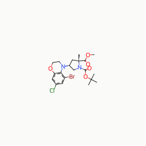 COC(=O)[C@@]1(C)C[C@H](N2CCOc3cc(Cl)cc(Br)c32)CN1C(=O)OC(C)(C)C